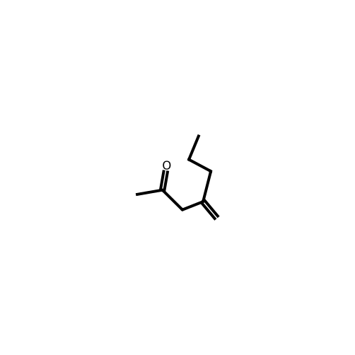 C=C(CCC)CC(C)=O